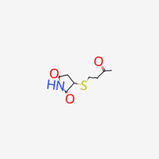 CC(=O)CCSC1CC(=O)NC1=O